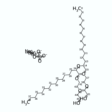 CCCCCCCCCCCCCCC(COCCOCCO)OC(CCCCCCCCCCCCCC)COCCOCCO.O=P([O-])([O-])[O-].[Na+].[Na+].[Na+]